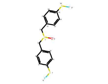 [O-][S+](Cc1ccc(SF)cc1)Cc1ccc(SF)cc1